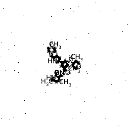 CCN(c1cc(C2CCC(CN3CCN(C)CC3)NC2)cc(C(=O)NCC2C(=O)NC(C)CC2C)c1C)C1CCOCC1